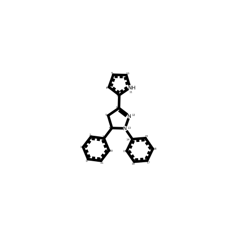 c1ccc(C2CC(c3ccc[nH]3)=NN2c2ccccc2)cc1